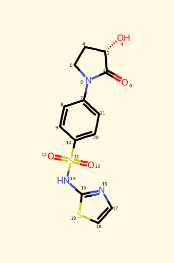 O=C1[C@@H](O)CCN1c1ccc(S(=O)(=O)Nc2nccs2)cc1